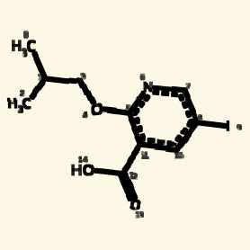 CC(C)COc1ncc(I)cc1C(=O)O